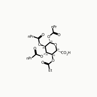 CCCC(=O)O[C@@H]1O[C@H](C(=O)O)[C@@H](OC(=O)CC)[C@H](OC(=O)CCC)[C@H]1OC(=O)CCC